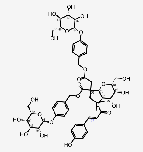 CC(C)C[C@](CC(=O)OCc1ccc(O[C@@H]2O[C@H](CO)[C@@H](O)[C@H](O)[C@H]2O)cc1)(C(=O)OCc1ccc(O[C@@H]2O[C@H](CO)[C@@H](O)[C@H](O)[C@H]2O)cc1)[C@@H]1O[C@H](CO)[C@@H](O)[C@H](O)[C@H]1OC(=O)/C=C/c1ccc(O)cc1